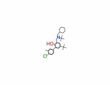 Cc1cc(-c2cc(C(C)(C)C)cc(CN(CC3CCCCC3)C(C)(C)C)c2O)ccc1Cl